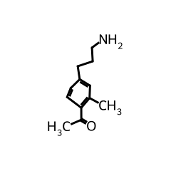 CC(=O)c1ccc(CCCN)cc1C